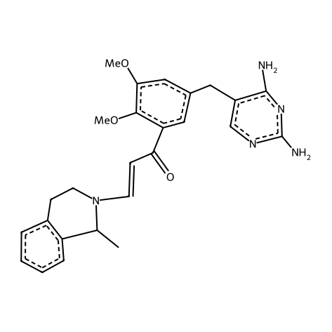 COc1cc(Cc2cnc(N)nc2N)cc(C(=O)/C=C/N2CCc3ccccc3C2C)c1OC